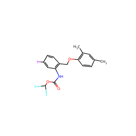 Cc1ccc(OCc2ccc(I)cc2NC(=O)OC(F)F)c(C)c1